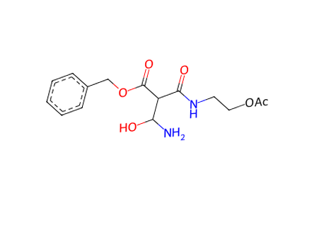 CC(=O)OCCNC(=O)C(C(=O)OCc1ccccc1)C(N)O